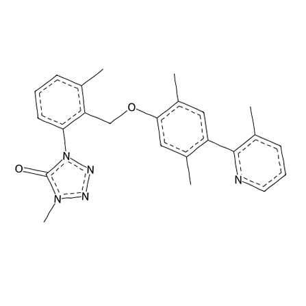 Cc1cc(-c2ncccc2C)c(C)cc1OCc1c(C)cccc1-n1nnn(C)c1=O